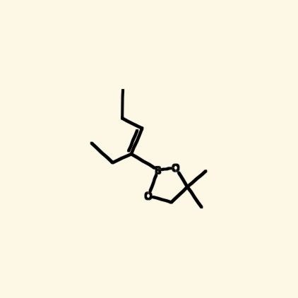 CC/C=C(\CC)B1OCC(C)(C)O1